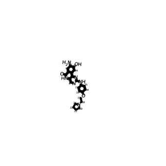 Nc1cc2c(=O)[nH]c3cnc(Nc4ccc(OCCN5CCCC5)cc4)nc3c2cc1O